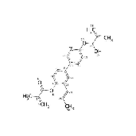 C=C(C)C(=O)Oc1ccc(-c2ccc(OC(O)C(=C)C)cc2)cc1/C=C/C